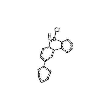 ClB1Nc2ccc(-c3ccccc3)cc2-c2ccccc21